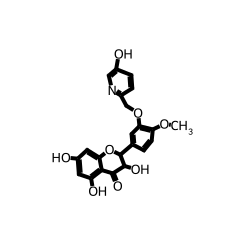 COc1ccc(C2Oc3cc(O)cc(O)c3C(=O)C2O)cc1OCc1ccc(O)cn1